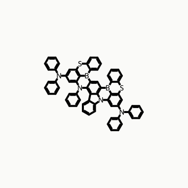 c1ccc(N(c2ccccc2)c2cc3c4c(c2)N(c2ccccc2)c2c(cc5c6c2c2ccccc2n6-c2cc(N(c6ccccc6)c6ccccc6)cc6c2B5c2ccccc2S6)B4c2ccccc2S3)cc1